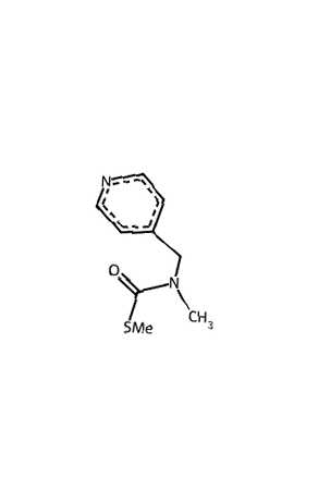 CSC(=O)N(C)Cc1ccncc1